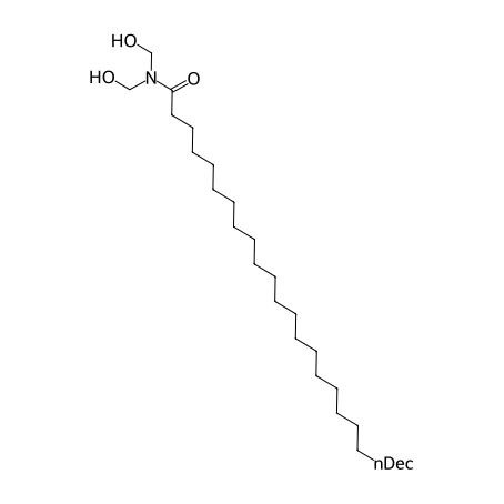 CCCCCCCCCCCCCCCCCCCCCCCCCCCCCC(=O)N(CO)CO